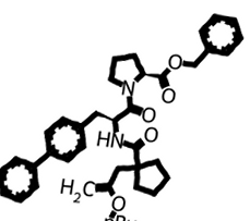 C=C(CC1(C(=O)N[C@@H](Cc2ccc(-c3ccccc3)cc2)C(=O)N2CCC[C@H]2C(=O)OCc2ccccc2)CCCC1)OCCCC